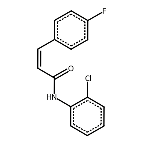 O=C(/C=C\c1ccc(F)cc1)Nc1ccccc1Cl